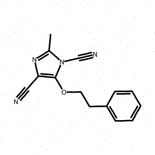 Cc1nc(C#N)c(OCCc2ccccc2)n1C#N